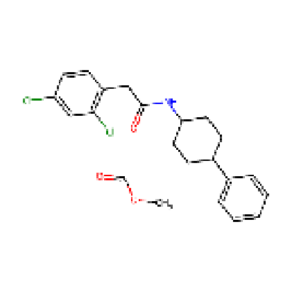 COC=O.O=C(Cc1ccc(Cl)cc1Cl)NC1CCC(c2ccccc2)CC1